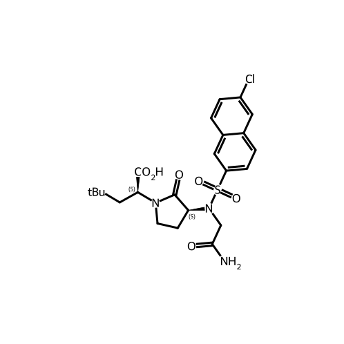 CC(C)(C)C[C@@H](C(=O)O)N1CC[C@H](N(CC(N)=O)S(=O)(=O)c2ccc3cc(Cl)ccc3c2)C1=O